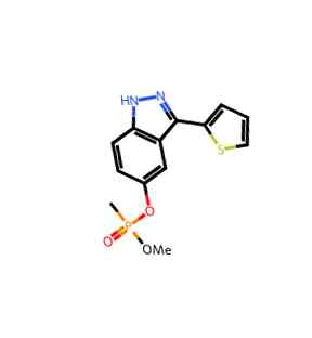 COP(C)(=O)Oc1ccc2[nH]nc(-c3cccs3)c2c1